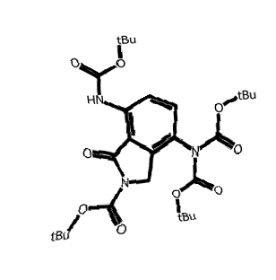 CC(C)(C)OC(=O)Nc1ccc(N(C(=O)OC(C)(C)C)C(=O)OC(C)(C)C)c2c1C(=O)N(C(=O)OC(C)(C)C)C2